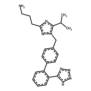 CC(C)c1nc(CCCN)nn1Cc1ccc(-c2ccccc2-c2nnn[nH]2)cc1